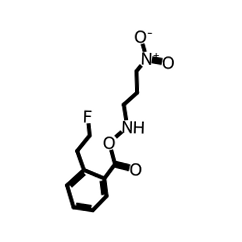 O=C(ONCCC[N+](=O)[O-])c1ccccc1CCF